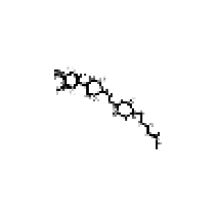 F/C=C/CCCC1CCC(CCC2CCC(c3ccc(F)c(F)c3)CC2)CC1